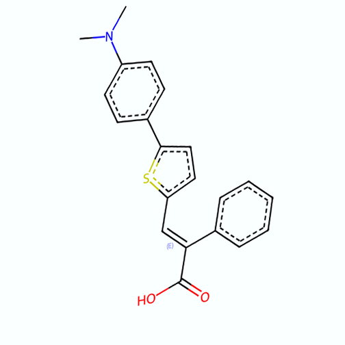 CN(C)c1ccc(-c2ccc(/C=C(/C(=O)O)c3ccccc3)s2)cc1